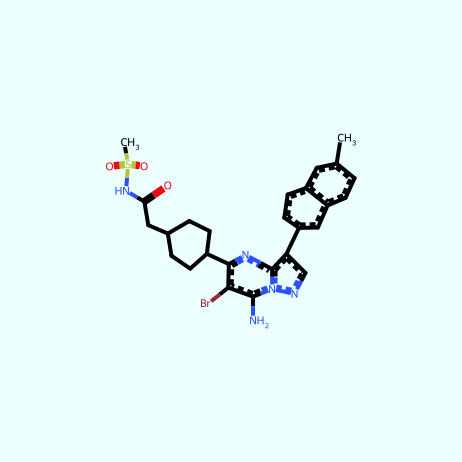 Cc1ccc2cc(-c3cnn4c(N)c(Br)c(C5CCC(CC(=O)NS(C)(=O)=O)CC5)nc34)ccc2c1